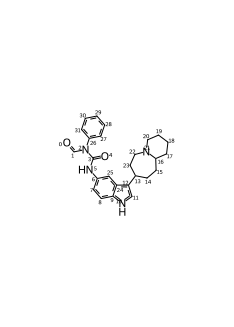 O=CN(C(=O)Nc1ccc2[nH]cc(C3CCC4CCCCN4CC3)c2c1)c1ccccc1